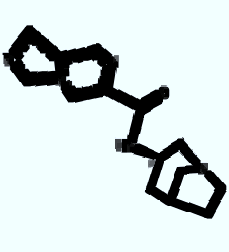 O=C(N[C@@H]1CC2CCN(C2)C1)c1cn2cncc2cn1